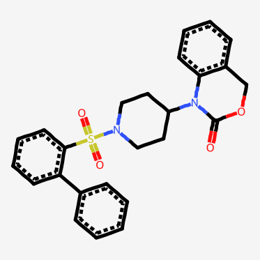 O=C1OCc2ccccc2N1C1CCN(S(=O)(=O)c2ccccc2-c2ccccc2)CC1